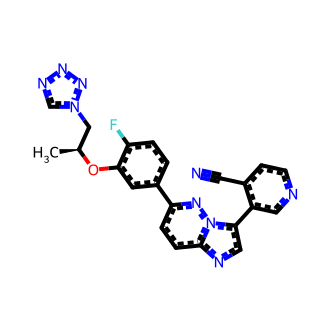 C[C@@H](Cn1cnnn1)Oc1cc(-c2ccc3ncc(-c4cnccc4C#N)n3n2)ccc1F